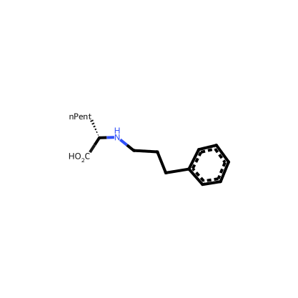 CCCCC[C@H](NCCCc1ccccc1)C(=O)O